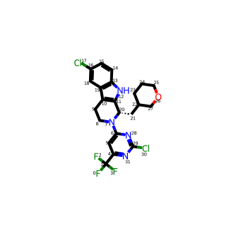 FC(F)(F)c1cc(N2CCc3c([nH]c4ccc(Cl)cc34)[C@@H]2CC2CCCOC2)nc(Cl)n1